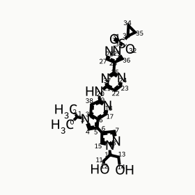 CC(C)n1cc(-c2cnn(C(CO)CO)c2)c2cnc(Nc3ccnc(-c4cnn(S(=O)(=O)C5CC5)c4)n3)cc21